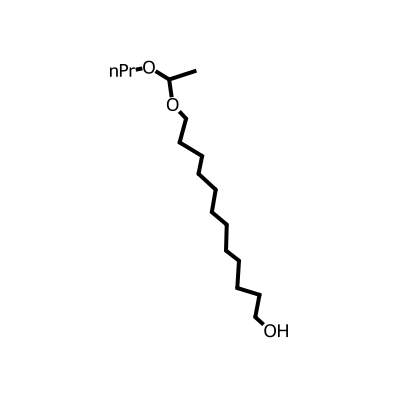 CCCOC(C)OCCCCCCCCCCCCO